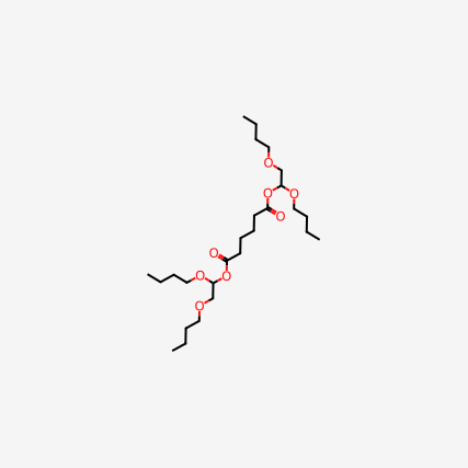 CCCCOCC(OCCCC)OC(=O)CCCCC(=O)OC(COCCCC)OCCCC